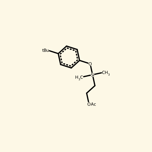 CC(=O)OCC[Si](C)(C)Oc1ccc(C(C)(C)C)cc1